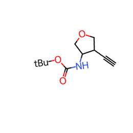 C#CC1COCC1NC(=O)OC(C)(C)C